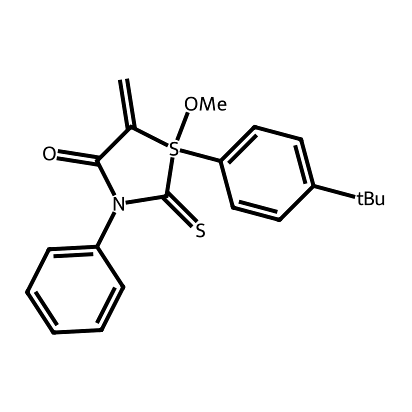 C=C1C(=O)N(c2ccccc2)C(=S)S1(OC)c1ccc(C(C)(C)C)cc1